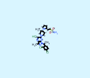 Cc1nn(C(C)c2ccc(Cl)cc2Cl)c2nc(N3CC[C@@H](N4CCC[C@H]4CCS(N)(=O)=O)[C@@H](C)C3)cnc12.Cl